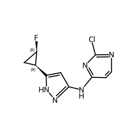 F[C@@H]1C[C@@H]1c1cc(Nc2ccnc(Cl)n2)n[nH]1